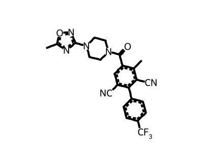 Cc1nc(N2CCN(C(=O)c3cc(C#N)c(-c4ccc(C(F)(F)F)cc4)c(C#N)c3C)CC2)no1